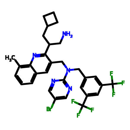 Cc1cccc2cc(CN(Cc3cc(C(F)(F)F)cc(C(F)(F)F)c3)c3ncc(Br)cn3)c(C(CN)CC3CCC3)nc12